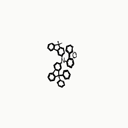 CC1(C)c2ccccc2-c2cc(N(c3ccc4c(c3)C(c3ccccc3)(c3ccccc3)c3ccccc3-4)c3cccc4oc5ccccc5c34)ccc21